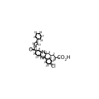 CC(CCCc1nc2cc(C(=O)N3CC(c4ccccc4)C3)ccc2nc1-c1ccc(Cl)cc1)C(=O)O